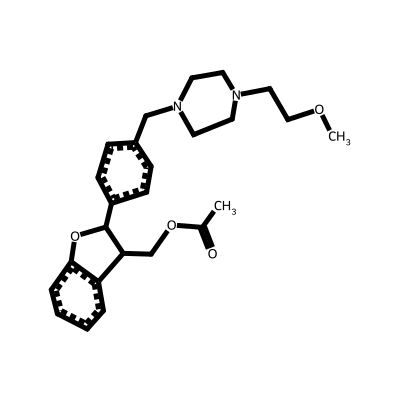 COCCN1CCN(Cc2ccc(C3Oc4ccccc4C3COC(C)=O)cc2)CC1